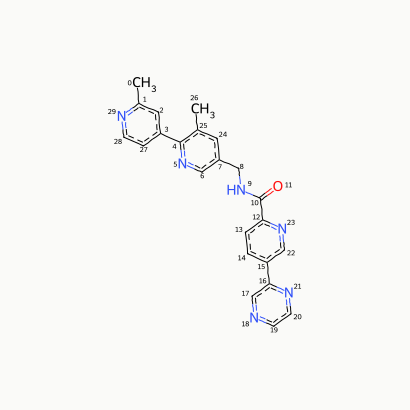 Cc1cc(-c2ncc(CNC(=O)c3ccc(-c4cnccn4)cn3)cc2C)ccn1